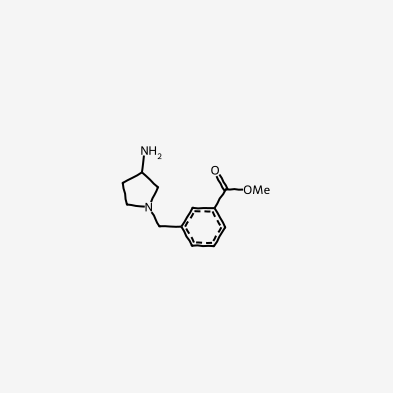 COC(=O)c1cccc(CN2CCC(N)C2)c1